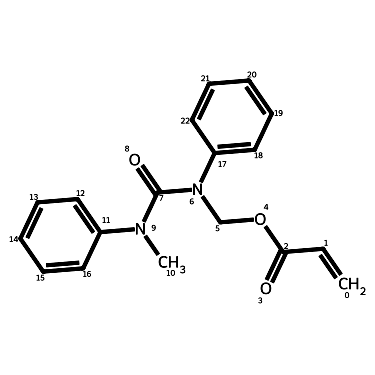 C=CC(=O)OCN(C(=O)N(C)c1ccccc1)c1ccccc1